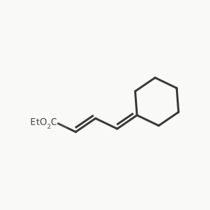 CCOC(=O)/C=C/C=C1CCCCC1